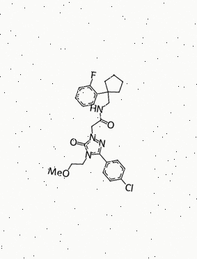 COCCn1c(-c2ccc(Cl)cc2)nn(CC(=O)NCC2(c3ccccc3F)CCCC2)c1=O